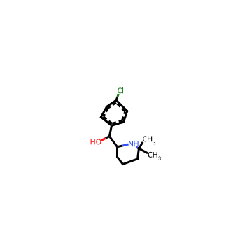 CC1(C)CCCC(C(O)c2ccc(Cl)cc2)N1